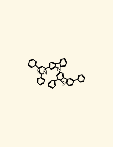 c1ccc(-c2ccc3sc4c(-c5ccccc5)cc(-n5c6ccccc6c6ccc(-c7cc(-c8ccccc8)nc(-c8ccccc8)n7)cc65)cc4c3c2)cc1